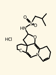 CC(C)CS(=O)(=O)NC1CC23CCCCC2=CN2C=CCCC2=C3O1.Cl